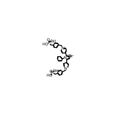 O=P(O)(O)Cc1ccc(C[n+]2ccc(-c3ccc(-c4cc[n+](Cc5ccc(CP(=O)(O)O)cc5)cc4)n3-c3ccccc3)cc2)cc1.[Br-].[Br-]